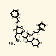 CC(C)CC(NC(=O)OCc1ccccc1)C(=O)NC(CC1CCCCC1)C(=O)CSCc1ccco1